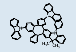 CC1(C)c2ccccc2N(c2ccccc2)c2cc3c(cc21)-c1ccccc1-c1cc(-n2c4ccccc4c4ccccc42)ccc1-c1ccc(-n2c4ccccc4c4ccccc42)cc1-3